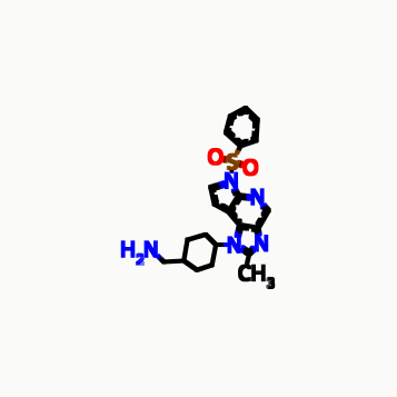 Cc1nc2cnc3c(ccn3S(=O)(=O)c3ccccc3)c2n1C1CCC(CN)CC1